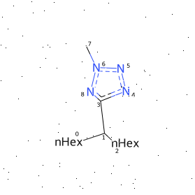 CCCCCCC(CCCCCC)c1nnn(C)n1